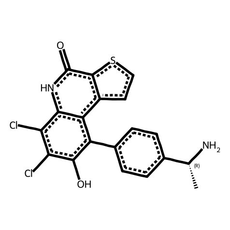 C[C@@H](N)c1ccc(-c2c(O)c(Cl)c(Cl)c3[nH]c(=O)c4sccc4c23)cc1